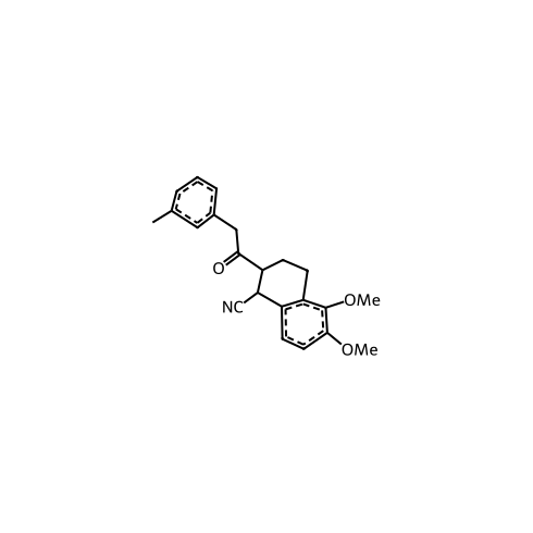 COc1ccc2c(c1OC)CCC(C(=O)Cc1cccc(C)c1)C2C#N